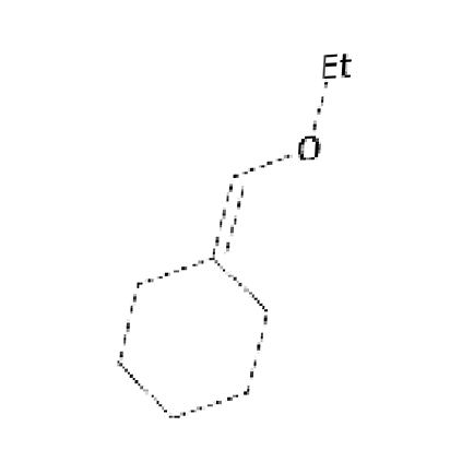 CCOC=C1CCCCC1